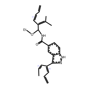 C=C/C=C\C(=C(C)C)C(NC(=O)c1ccc2[nH]nc(C(/C=C\C)=C/C=C)c2c1)OCC